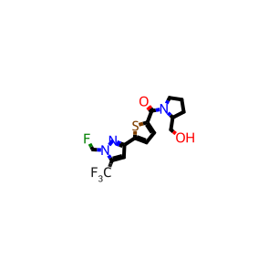 O=C(c1ccc(-c2cc(C(F)(F)F)n(CF)n2)s1)N1CCCC1CO